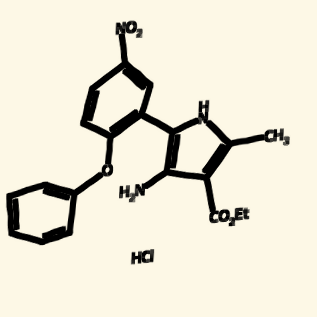 CCOC(=O)c1c(C)[nH]c(-c2cc([N+](=O)[O-])ccc2Oc2ccccc2)c1N.Cl